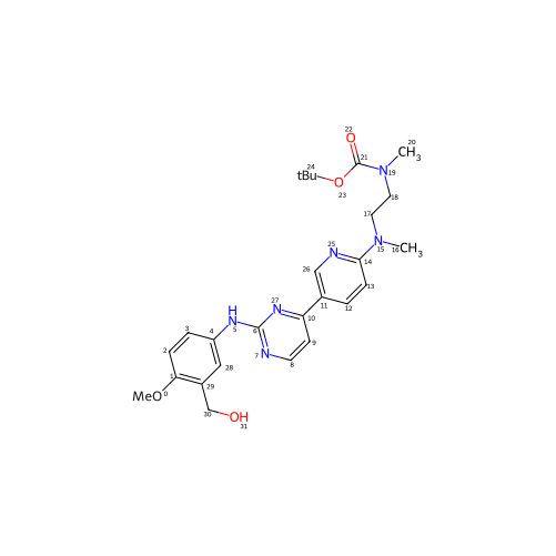 COc1ccc(Nc2nccc(-c3ccc(N(C)CCN(C)C(=O)OC(C)(C)C)nc3)n2)cc1CO